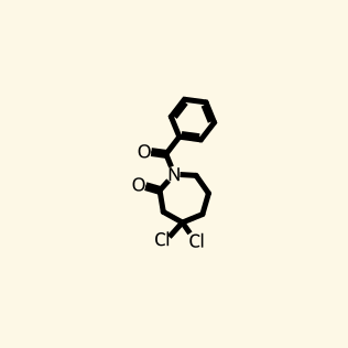 O=C1CC(Cl)(Cl)CCCN1C(=O)c1ccccc1